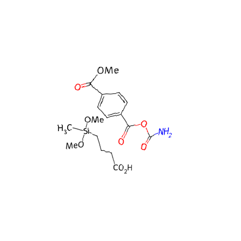 COC(=O)c1ccc(C(=O)OC(N)=O)cc1.CO[Si](C)(CCCC(=O)O)OC